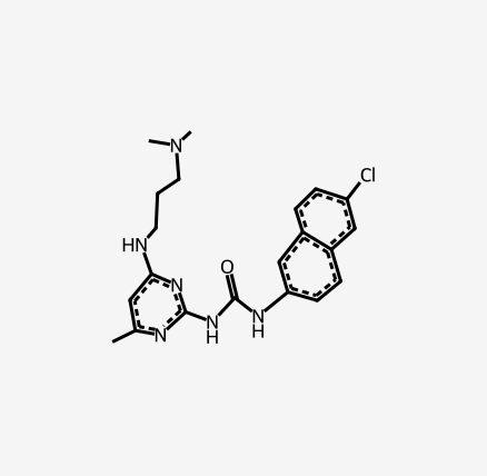 Cc1cc(NCCCN(C)C)nc(NC(=O)Nc2ccc3cc(Cl)ccc3c2)n1